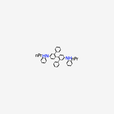 CCCc1ccccc1Nc1ccc(-c2ccc(Nc3ccccc3CCC)cc2-c2ccccc2)c(-c2ccccc2)c1